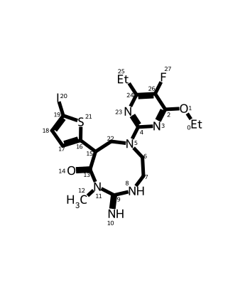 CCOc1nc(N2CCNC(=N)N(C)C(=O)C(c3ccc(I)s3)C2)nc(CC)c1F